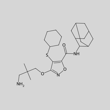 CC(C)(CN)COc1noc(C(=O)NC2C3CC4CC(C3)CC2C4)c1SC1CCCCC1